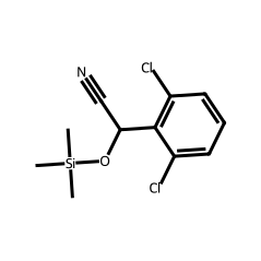 C[Si](C)(C)OC(C#N)c1c(Cl)cccc1Cl